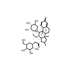 CC1C[C@H]2[C@@H]3CCC4=CC(=O)C=C([C@@H]5O[C@H](CO)[C@H](O)[C@H](O)[C@H]5O)[C@]4(C)[C@@]3(F)C(O)C[C@]2(C)[C@H]1C(=O)C[C@@H]1O[C@H](CO)[C@H](O)[C@H](O)[C@H]1O